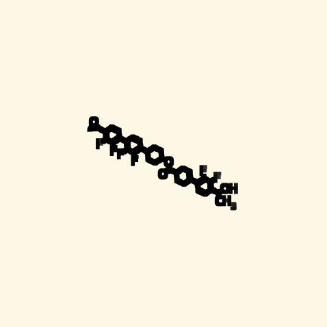 CC(O)c1ccc(C2=CCC(C(=O)OC3CCC(c4ccc(-c5ccc(C6CO6)c(F)c5F)c(F)c4F)CC3)CC2)c(F)c1F